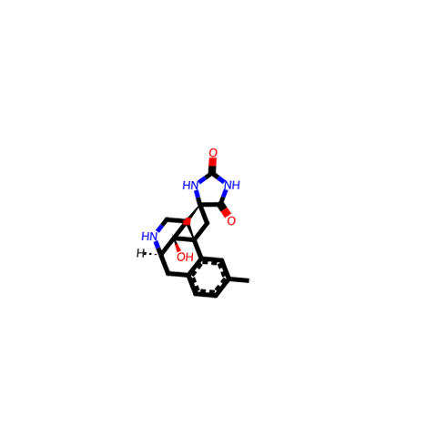 Cc1ccc2c(c1)[C@]13CCN[C@H](C2)[C@]1(O)CC[C@@]1(C3)NC(=O)NC1=O